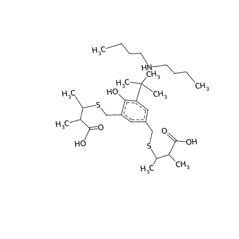 CC(SCc1cc(CSC(C)C(C)C(=O)O)c(O)c(C(C)(C)C)c1)C(C)C(=O)O.CCCCNCCCC